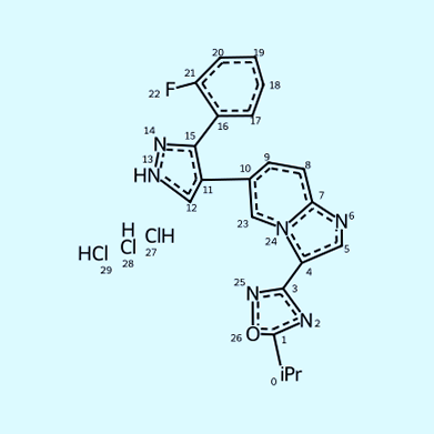 CC(C)c1nc(-c2cnc3ccc(-c4c[nH]nc4-c4ccccc4F)cn23)no1.Cl.Cl.Cl